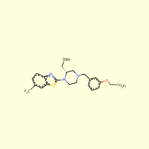 COC[C@@H]1CN(Cc2cccc(OCC(=O)O)c2)CCN1c1nc2ccc(C(F)(F)F)cc2s1